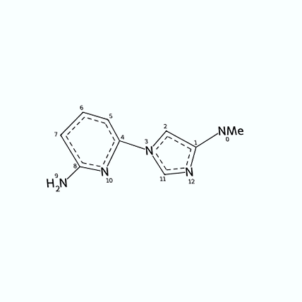 CNc1cn(-c2cccc(N)n2)cn1